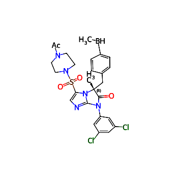 CBc1ccc(C[C@]2(C)C(=O)N(c3cc(Cl)cc(Cl)c3)c3ncc(S(=O)(=O)N4CCN(C(C)=O)CC4)n32)cc1